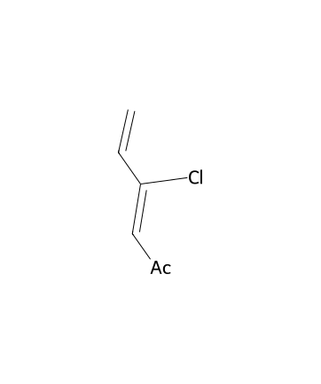 C=CC(Cl)=CC(C)=O